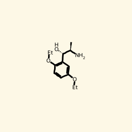 CCOc1ccc(OCC)c([C@H](O)[C@@H](C)N)c1